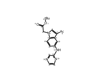 CC(=O)c1cn(CC(=O)OC(C)(C)C)c2ccc(Nc3cnccn3)cc12